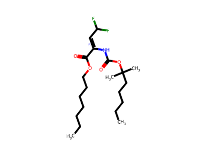 CCCCCCCOC(=O)/C(=C/C(F)F)NC(=O)OC(C)(C)CCCCC